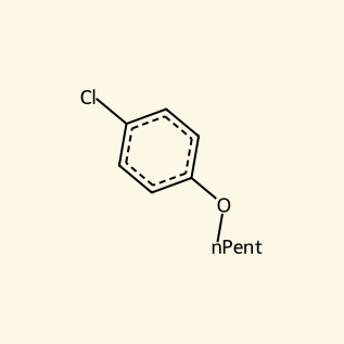 CCCCCOc1ccc(Cl)cc1